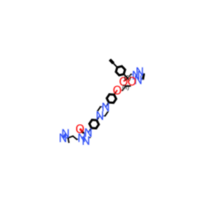 C#Cc1ccc([C@]2(Cn3nccn3)OC[C@@H](COc3ccc(N4CCN(c5ccc(-n6cnn(CCC7(C)N=N7)c6=O)cc5)CC4)cc3)O2)cc1